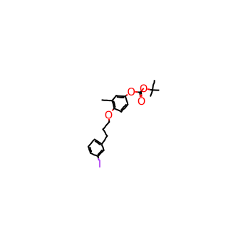 Cc1cc(OC(=O)OC(C)(C)C)ccc1OCCCc1cccc(I)c1